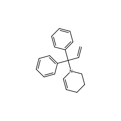 C=CC(c1ccccc1)(c1ccccc1)N1C=CCCC1